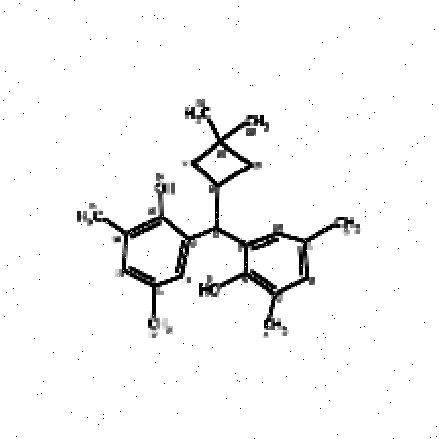 Cc1cc(C)c(O)c(C(c2cc(C)cc(C)c2O)C2CC(C)(C)C2)c1